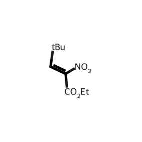 CCOC(=O)C(=CC(C)(C)C)[N+](=O)[O-]